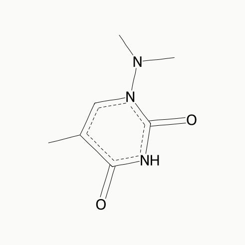 Cc1cn(N(C)C)c(=O)[nH]c1=O